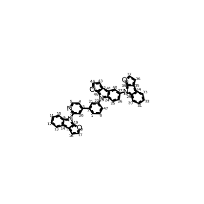 c1cc(-c2ccnc(-n3c4ccccc4c4ccoc43)c2)cc(-n2c3ccc(-n4c5ccccc5c5ccoc54)cc3c3ccoc32)c1